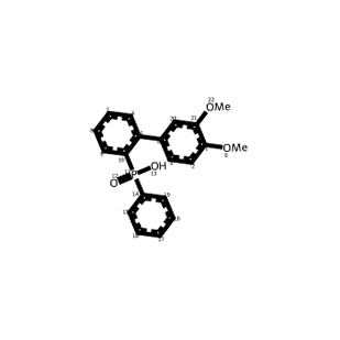 COc1ccc(-c2ccccc2P(=O)(O)c2ccccc2)cc1OC